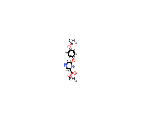 CCOc1ccc(Oc2cncc(C(=O)OC)n2)cc1